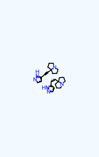 C(#CC12CCCN1CCC2)c1ccn[nH]1.C(=C/C12CCCN1CCC2)/c1ccn[nH]1